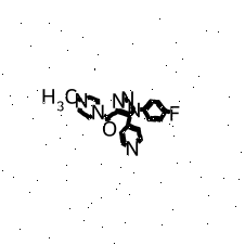 CN1CCN(C(=O)c2nnn(-c3ccc(F)cc3)c2-c2ccncc2)CC1